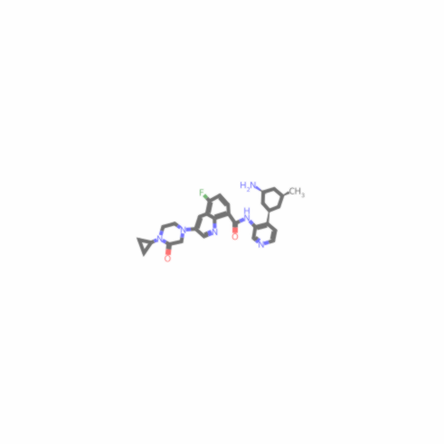 C[C@@H]1C[C@H](N)C[C@H](c2ccncc2NC(=O)c2ccc(F)c3cc(N4CCN(C5CC5)C(=O)C4)cnc23)C1